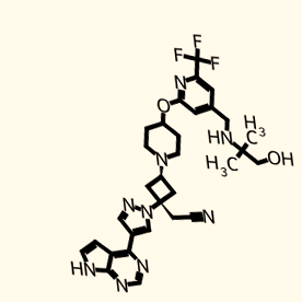 CC(C)(CO)NCc1cc(OC2CCN([C@H]3C[C@](CC#N)(n4cc(-c5ncnc6[nH]ccc56)cn4)C3)CC2)nc(C(F)(F)F)c1